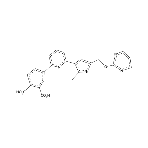 Cc1nc(COc2ncccn2)sc1-c1cccc(-c2ccc(C(=O)O)c(C(=O)O)c2)n1